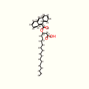 CCCCCCCCCCCCCCCC(CC(=O)O)OC(=O)c1c2ccccc2cc2ccccc12